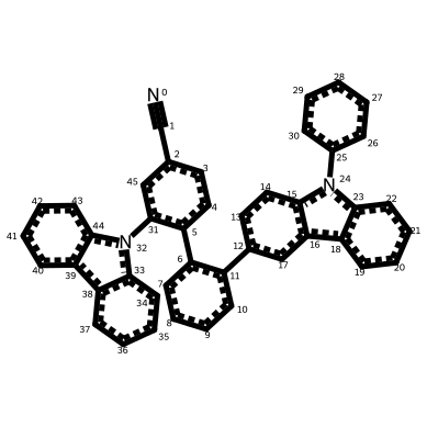 N#Cc1ccc(-c2ccccc2-c2ccc3c(c2)c2ccccc2n3-c2ccccc2)c(-n2c3ccccc3c3ccccc32)c1